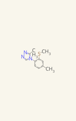 CSc1cc(C)ccc1-n1cnnc1C